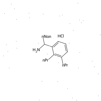 CCCCCCCCCC(N)c1cccc(CCC)c1CCC.Cl